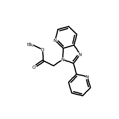 CC(C)(C)OC(=O)Cn1c(-c2ccccn2)nc2cccnc21